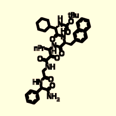 CCCC(NC(=O)[C@H](Cc1ccc2ccccc2c1)NC(=O)[C@@H](NC(=O)OC(C)(C)C)C1CCCCC1)C(=O)C(=O)NCC(=O)NC(C(N)=O)c1ccccc1